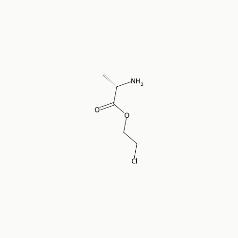 C[C@H](N)C(=O)OCCCl